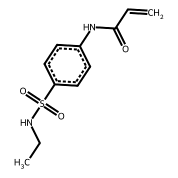 C=CC(=O)Nc1ccc(S(=O)(=O)NCC)cc1